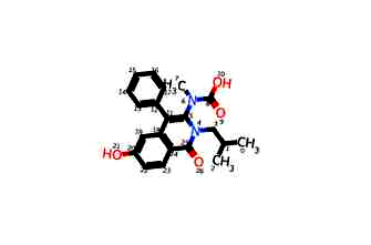 CC(C)Cn1c(N(C)C(=O)O)c(-c2ccccc2)c2cc(O)ccc2c1=O